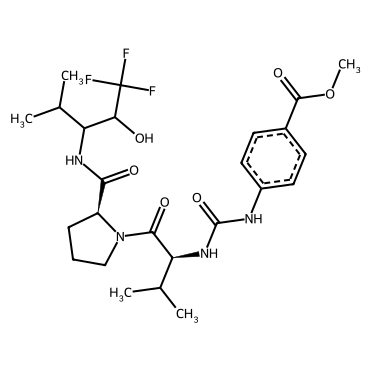 COC(=O)c1ccc(NC(=O)N[C@H](C(=O)N2CCC[C@H]2C(=O)NC(C(C)C)C(O)C(F)(F)F)C(C)C)cc1